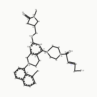 Cc1cccc2cccc(N3CCc4c(nc(OCC5CC(=O)N(C)C5)nc4N4CCN(C(=O)/C=C/CF)CC4)C3)c12